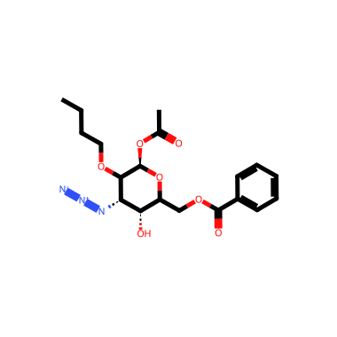 CCCCOC1[C@@H](OC(C)=O)OC(COC(=O)c2ccccc2)[C@H](O)[C@@H]1N=[N+]=[N-]